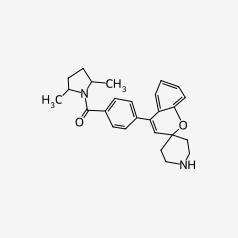 CC1CCC(C)N1C(=O)c1ccc(C2=CC3(CCNCC3)Oc3ccccc32)cc1